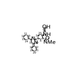 CNC(=O)c1cc(-c2nc(-c3ccccc3)cc(-c3ccccc3)n2)ccc1NC#CO